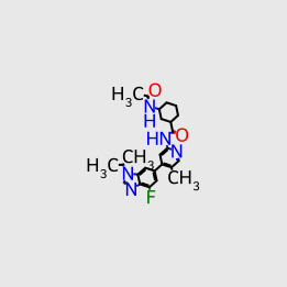 CC(=O)NC1CCCC(C(=O)Nc2cc(-c3cc(F)c4ncn(C(C)C)c4c3)c(C)cn2)C1